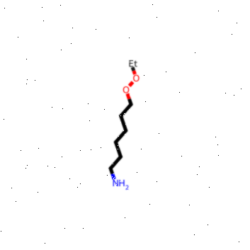 CCOOCCCCCCN